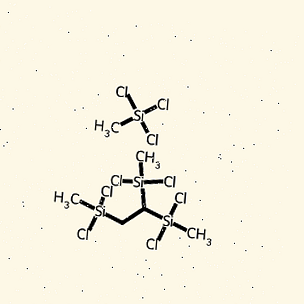 C[Si](Cl)(Cl)CC([Si](C)(Cl)Cl)[Si](C)(Cl)Cl.C[Si](Cl)(Cl)Cl